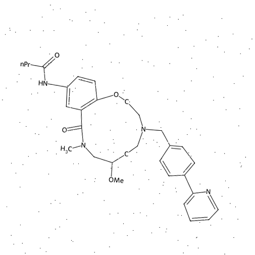 CCCC(=O)Nc1ccc2c(c1)C(=O)N(C)CC(OC)CCN(Cc1ccc(-c3ccccn3)cc1)CCO2